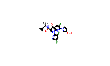 O=C(NC(C1CC1)C(F)(F)F)c1cn(-c2ncc(F)cc2F)c2nc(N3CC[C@H](O)C3)c(F)cc2c1=O